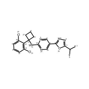 FC(F)c1nnc(-c2cnc(NC3(c4c(Cl)cccc4Cl)CCC3)nc2)o1